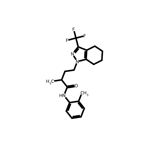 Cc1ccccc1NC(=O)C(C)CCn1nc(C(F)(F)F)c2c1CCCC2